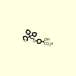 O=C(O)C(O)c1ccc(OCCC(c2ccccc2)(c2ccccc2)c2ccccc2)cc1